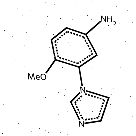 COc1ccc(N)cc1-n1ccnc1